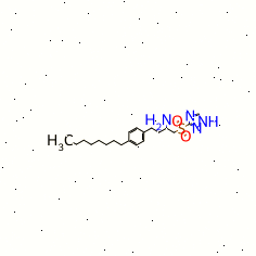 CCCCCCCCc1ccc(CCC(N)CS(=O)(=O)c2nc[nH]n2)cc1